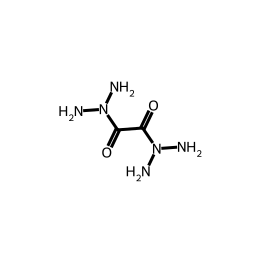 NN(N)C(=O)C(=O)N(N)N